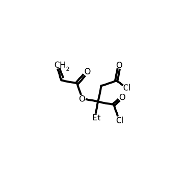 C=CC(=O)OC(CC)(CC(=O)Cl)C(=O)Cl